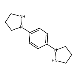 c1cc(N2CCCN2)ccc1N1CCCN1